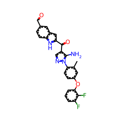 Cc1cc(Oc2cccc(F)c2F)ccc1-n1ncc(C(=O)c2cc3cc(C=O)ccc3[nH]2)c1N